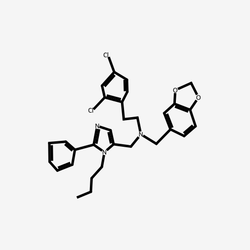 CCCCn1c(CN(CCc2ccc(Cl)cc2Cl)Cc2ccc3c(c2)OCO3)cnc1-c1ccccc1